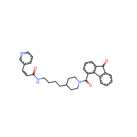 O=C(/C=C\c1cccnc1)NCCCCC1CCN(C(=O)c2cccc3c2-c2ccccc2C3=O)CC1